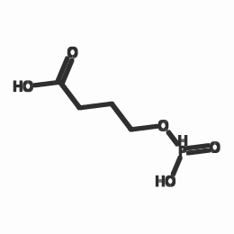 O=C(O)CCCO[PH](=O)O